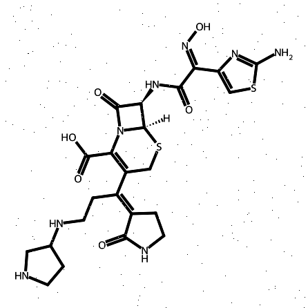 Nc1nc(C(=NO)C(=O)N[C@@H]2C(=O)N3C(C(=O)O)=C(C(CCNC4CCNC4)=C4CCNC4=O)CS[C@H]23)cs1